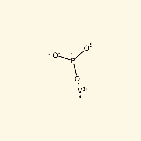 [O-]P([O-])[O-].[V+3]